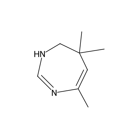 CC1=CC(C)(C)CNC=N1